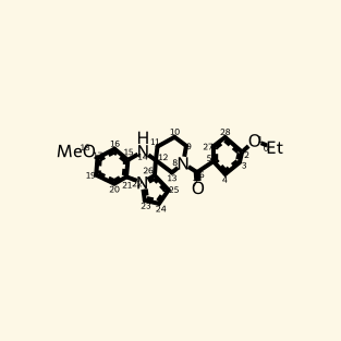 CCOc1ccc(C(=O)N2CCCC3(C2)Nc2cc(OC)ccc2-n2cccc23)cc1